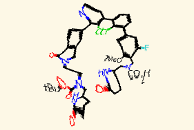 COc1cc(-c2cccc(-c3ccnc(-c4ccc5c(c4)CN(CCN(CC4CCC(=O)N4)C(=O)OC(C)(C)C)C5=O)c3Cl)c2Cl)cc(F)c1CN(CC1CCC(=O)N1)C(=O)O